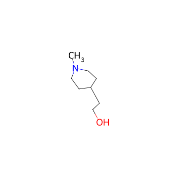 CN1CCC(CCO)CC1